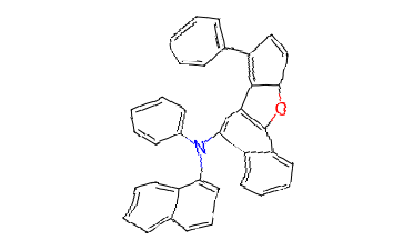 C1=CC2Oc3c(cc(N(c4ccccc4)c4cccc5ccccc45)c4ccccc34)C2=C1c1ccccc1